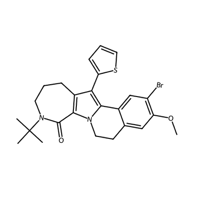 COc1cc2c(cc1Br)-c1c(-c3cccs3)c3c(n1CC2)C(=O)N(C(C)(C)C)CCC3